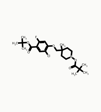 CC1(COc2cc(F)c(C(=O)OC(C)(C)C)cc2Cl)CCN(OC(=O)C(C)(C)C)CC1